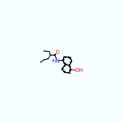 CCCC(CC)C(=O)Nc1cccc2c(O)cccc12